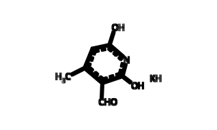 Cc1cc(O)nc(O)c1C=O.[KH]